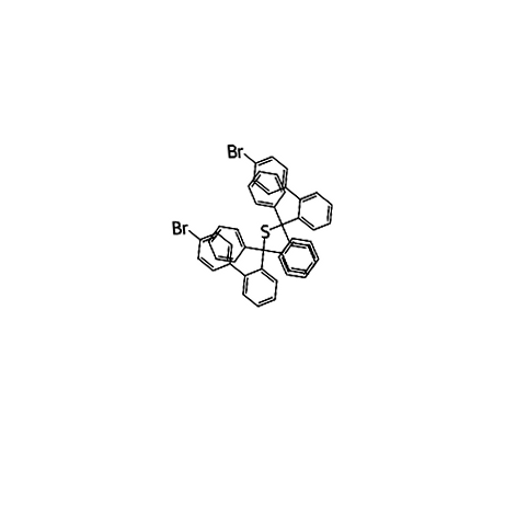 Brc1ccc(-c2ccccc2C(SC(c2ccccc2)(c2ccccc2)c2ccccc2-c2ccc(Br)cc2)(c2ccccc2)c2ccccc2)cc1